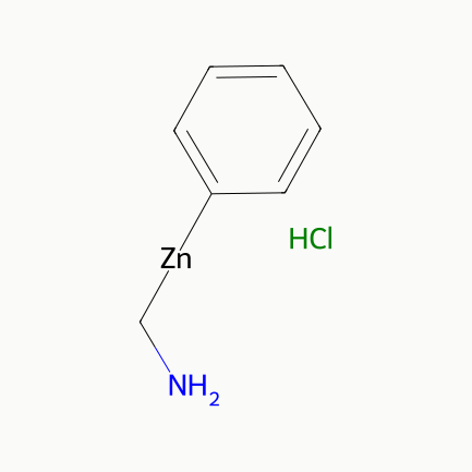 Cl.N[CH2][Zn][c]1ccccc1